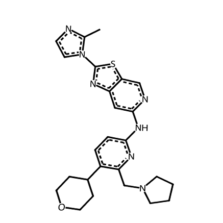 Cc1nccn1-c1nc2cc(Nc3ccc(C4CCOCC4)c(CN4CCCC4)n3)ncc2s1